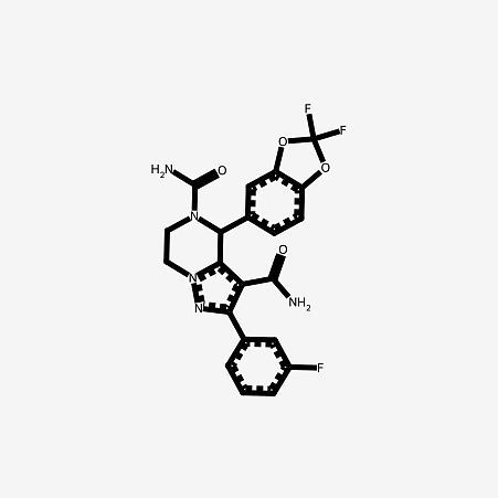 NC(=O)c1c(-c2cccc(F)c2)nn2c1C(c1ccc3c(c1)OC(F)(F)O3)N(C(N)=O)CC2